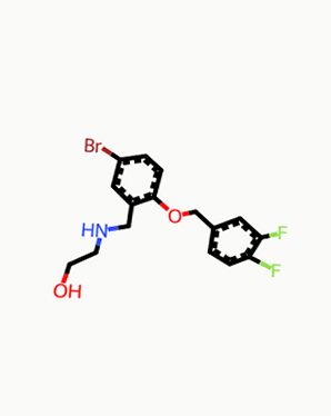 OCCNCc1cc(Br)ccc1OCc1ccc(F)c(F)c1